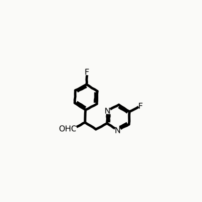 O=CC(Cc1ncc(F)cn1)c1ccc(F)cc1